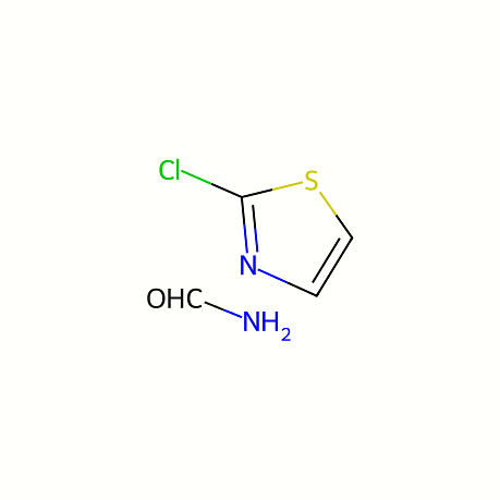 Clc1nccs1.NC=O